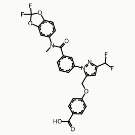 CN(C(=O)c1cccc(-n2nc(C(F)F)cc2COc2ccc(C(=O)O)cc2)c1)c1ccc2c(c1)OC(F)(F)O2